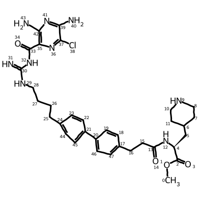 COC(=O)[C@H](CC1CCNCC1)NC(=O)CCc1ccc(-c2ccc(CCCCNC(=N)NC(=O)c3nc(Cl)c(N)nc3N)cc2)cc1